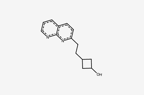 OC1CC(CCc2ccc3cccnc3n2)C1